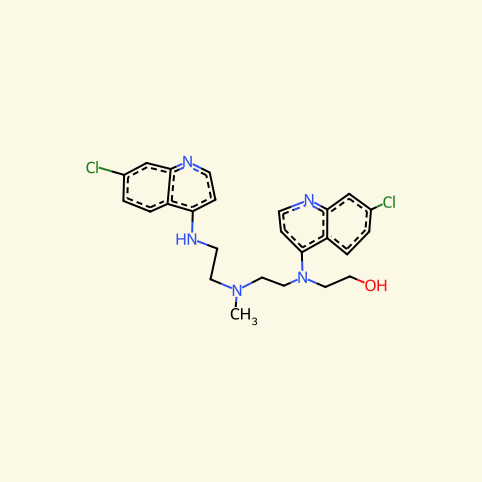 CN(CCNc1ccnc2cc(Cl)ccc12)CCN(CCO)c1ccnc2cc(Cl)ccc12